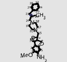 COc1cc2c(cc1N)OCC1C2=NOC1CN1CCN(C/C(C)=C/c2ccccc2)CC1